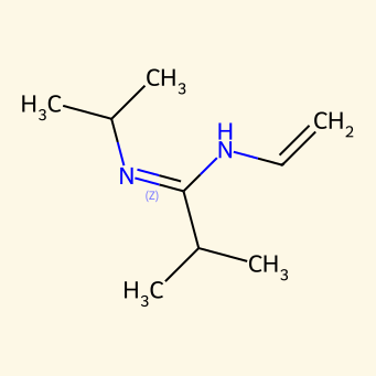 C=CN/C(=N\C(C)C)C(C)C